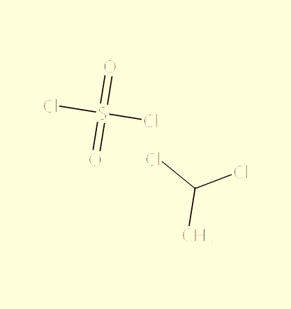 CC(Cl)Cl.O=S(=O)(Cl)Cl